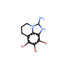 NC1Nc2c(Br)c(Br)c(Br)c3c2N1CCC3